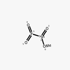 C[O][3Sn](=[O])[P](=O)=O